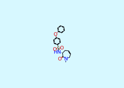 CN1CC=CC[C@@H](NS(=O)(=O)c2ccc(Oc3ccccc3)cc2)C1=O